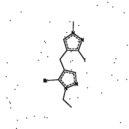 CCn1ncc(Cc2cn(C)nc2I)c1Br